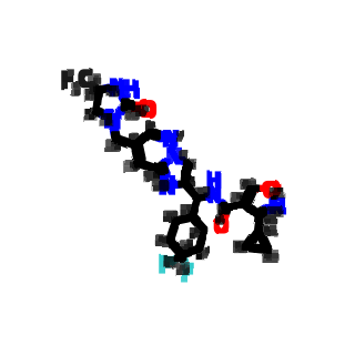 O=C(NC(c1cn2ncc(CN3C[C@@H](C(F)(F)F)NC3=O)cc2n1)C1CCC(F)(F)CC1)c1conc1C1CC1